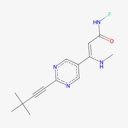 CN/C(=C\C(=O)NF)c1cnc(C#CC(C)(C)C)nc1